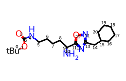 CC(C)(C)OC(=O)NCCCCC(N)c1nc(CC2CCCCC2)no1